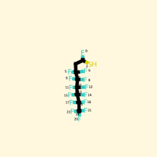 FC(S)CC(F)(F)C(F)(F)C(F)(F)C(F)(F)C(F)(F)C(F)(F)F